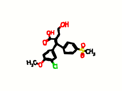 COc1ccc(C(=C(CCO)C(=O)O)c2ccc(S(C)(=O)=O)cc2)cc1Cl